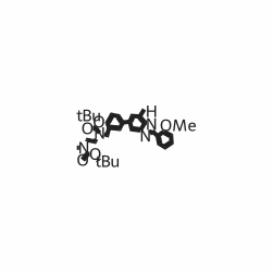 COc1ccccc1-c1nc2cc(-c3cccc(CN(CCN(C)C(=O)OC(C)(C)C)C(=O)OC(C)(C)C)c3)cc(C)c2[nH]1